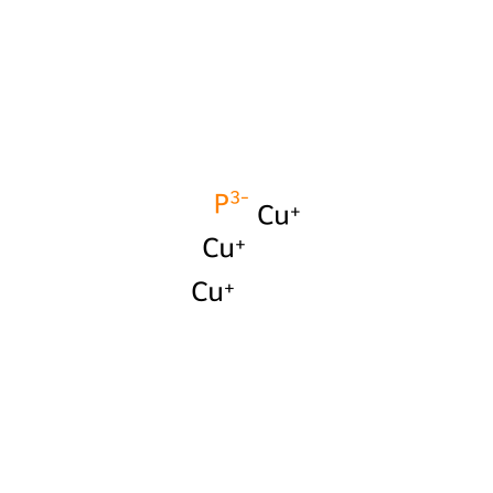 [Cu+].[Cu+].[Cu+].[P-3]